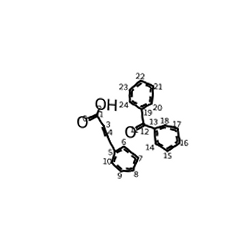 O=C(O)C=Cc1ccccc1.O=C(c1ccccc1)c1ccccc1